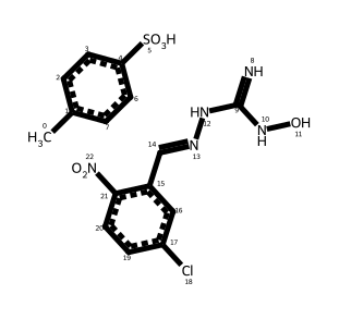 Cc1ccc(S(=O)(=O)O)cc1.N=C(NO)N/N=C/c1cc(Cl)ccc1[N+](=O)[O-]